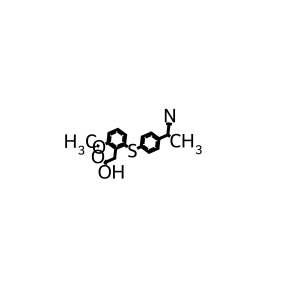 COc1cccc(Sc2ccc(C(C)C#N)cc2)c1CC(=O)O